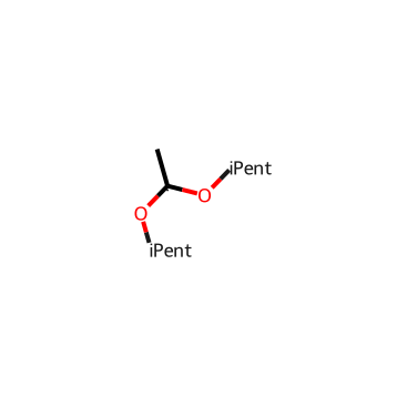 CCCC(C)O[C](C)OC(C)CCC